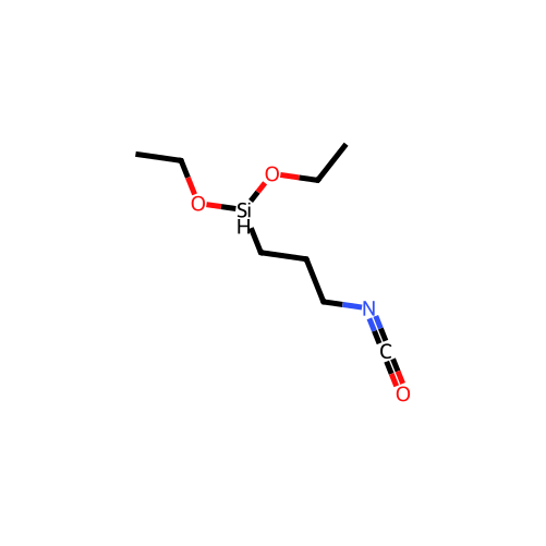 CCO[SiH](CCCN=C=O)OCC